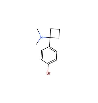 CN(C)C1(c2ccc(Br)cc2)CCC1